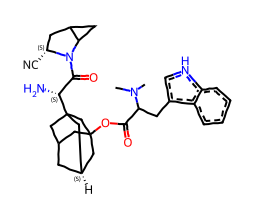 CN(C)C(Cc1c[nH]c2ccccc12)C(=O)OC12CC3C[C@H](C1)CC([C@H](N)C(=O)N1C4CC4C[C@H]1C#N)(C3)C2